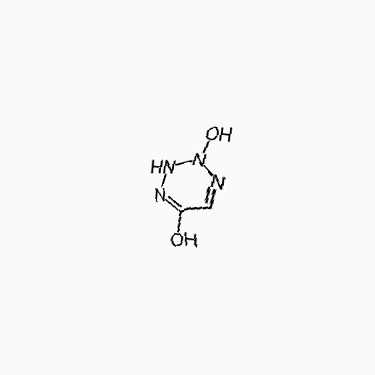 OC1=NNN(O)N=C1